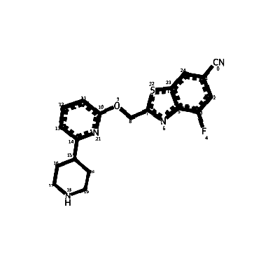 N#Cc1cc(F)c2nc(COc3cccc(C4CCNCC4)n3)sc2c1